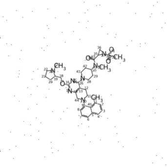 Cc1cccc2cccc(N3CCc4c(nc(OCC5CCCN5C)nc4N4CCC(N(C)C(=O)C5CN5S(C)(=O)=O)CC4)C3)c12